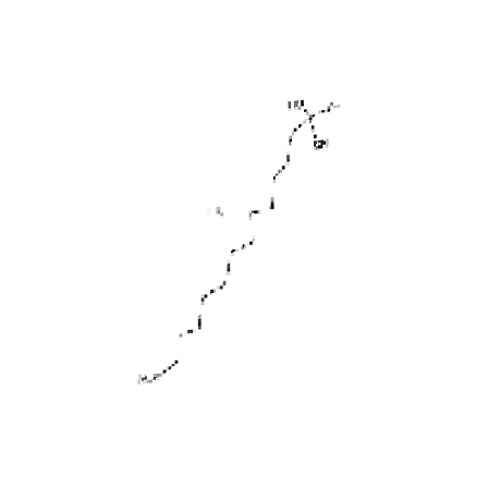 Cl.OC(O)(O)CCCCCCCCCCCCP